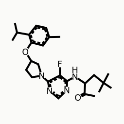 CC(=O)C(CC(C)(C)C)Nc1ncnc(N2CCC(Oc3cc(C)ccc3C(C)C)C2)c1F